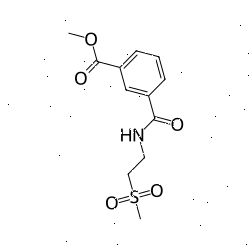 COC(=O)c1cccc(C(=O)NCCS(C)(=O)=O)c1